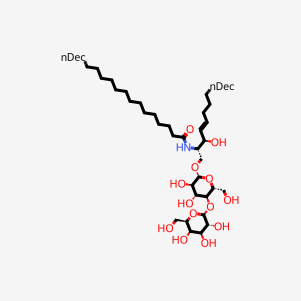 CCCCCCCCCCCCC/C=C/[C@@H](O)[C@H](CO[C@@H]1O[C@H](CO)[C@@H](O[C@@H]2O[C@H](CO)[C@H](O)[C@H](O)[C@H]2O)[C@H](O)[C@H]1O)NC(=O)CCCCCCCCCCCCCCCCCCCCCCC